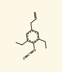 C=CCc1cc(CC)c(N=C=S)c(CC)c1